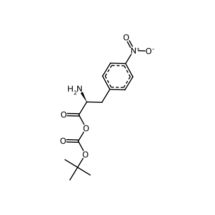 CC(C)(C)OC(=O)OC(=O)[C@@H](N)Cc1ccc([N+](=O)[O-])cc1